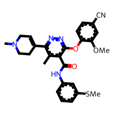 COc1cc(C#N)ccc1Oc1nnc(C2=CCN(C)CC2)c(C)c1C(=O)Nc1cccc(SC)c1